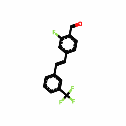 O=Cc1ccc(/C=C/c2cccc(C(F)(F)F)c2)cc1F